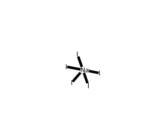 [I][Na]([I])([I])([I])[I]